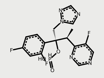 C[C@@H](c1ncncc1F)[C@@](Cn1cncn1)(O[PH](=O)O)c1ccc(F)cc1F